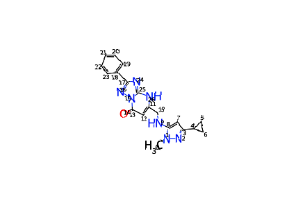 Cn1nc(C2CC2)cc1NCc1cc(=O)n2nc(-c3ccccc3)nc2[nH]1